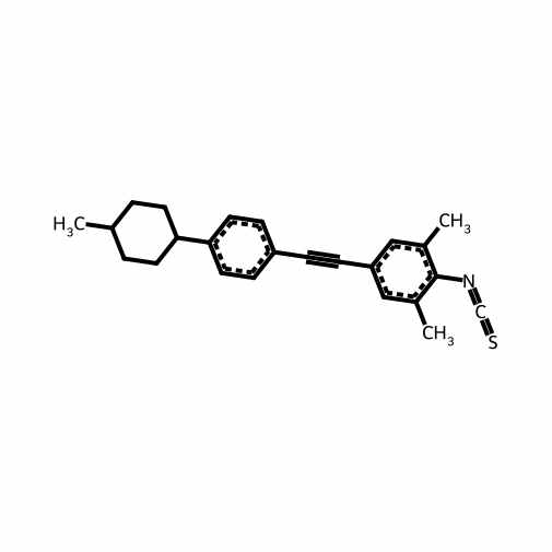 Cc1cc(C#Cc2ccc(C3CCC(C)CC3)cc2)cc(C)c1N=C=S